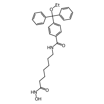 CCOC(c1ccccc1)(c1ccccc1)c1ccc(C(=O)NCCCCCCC(=O)NO)cc1